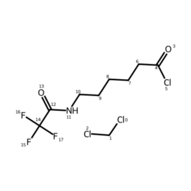 ClCCl.O=C(Cl)CCCCCNC(=O)C(F)(F)F